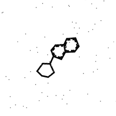 c1ccc2cc([C]3CCCCC3)ccc2c1